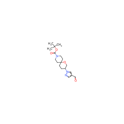 CC(C)(C)OC(=O)N1CCC2(CCC(n3cc(C=O)cn3)CO2)CC1